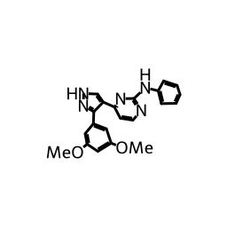 COc1cc(OC)cc(-c2n[nH]cc2-c2ccnc(Nc3ccccc3)n2)c1